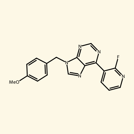 COc1ccc(Cn2cnc3c(-c4cccnc4F)ncnc32)cc1